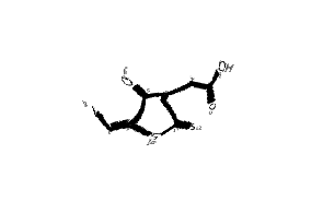 O=C(O)CC1C(=O)/C(=C\I)SC1=S